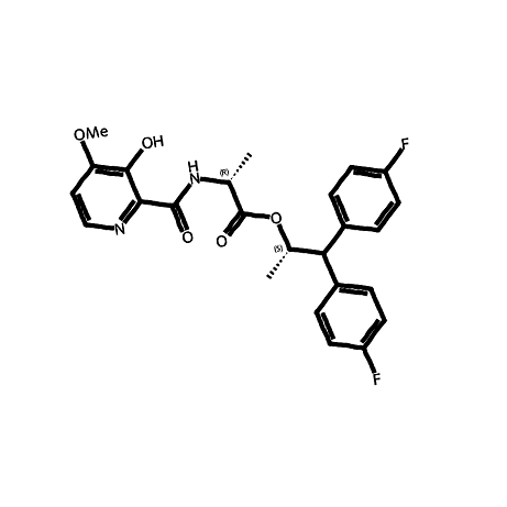 COc1ccnc(C(=O)N[C@H](C)C(=O)O[C@@H](C)C(c2ccc(F)cc2)c2ccc(F)cc2)c1O